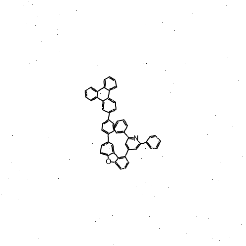 c1ccc(-c2cc(-c3cccc4oc5ccc(-c6ccc(-c7ccc8c9ccccc9c9ccccc9c8c7)cc6)cc5c34)cc(-c3ccccc3)n2)cc1